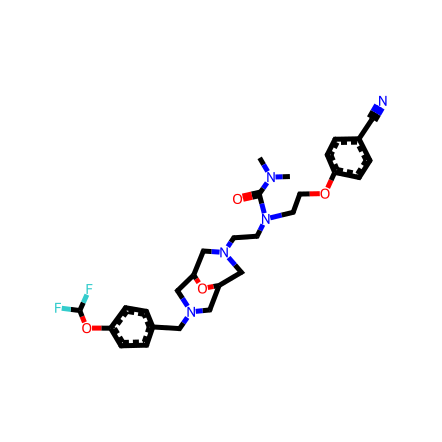 CN(C)C(=O)N(CCOc1ccc(C#N)cc1)CCN1CC2CN(Cc3ccc(OC(F)F)cc3)CC(C1)O2